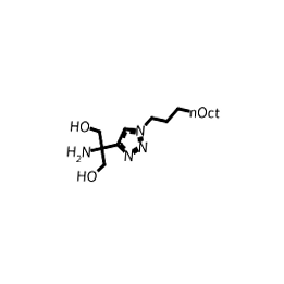 CCCCCCCCCCCn1cc(C(N)(CO)CO)nn1